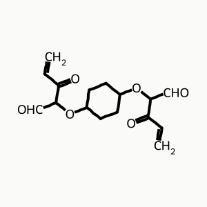 C=CC(=O)C(C=O)OC1CCC(OC(C=O)C(=O)C=C)CC1